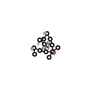 Fc1cccc(F)c1-c1cc(-n2c3cc(-c4cccnc4-c4ccccc4)ccc3c3ccc(-c4cccnc4-c4ccccc4)cc32)c(C(F)(F)F)c(-n2c3cc(-c4cccnc4-c4ccccc4)ccc3c3ccc(-c4cccnc4-c4ccccc4)cc32)c1